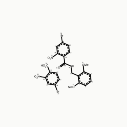 COc1cccc(OC)c1CNC(=O)c1ccc(Br)cc1[N+](=O)[O-].O=C(O)c1ccc(Br)cc1[N+](=O)[O-]